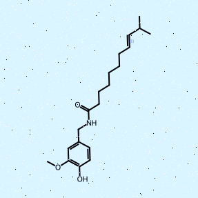 COc1cc(CNC(=O)CCCCCC/C=C/C(C)C)ccc1O